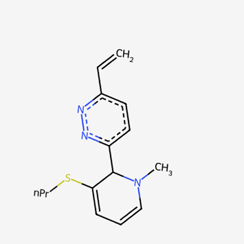 C=Cc1ccc(C2C(SCCC)=CC=CN2C)nn1